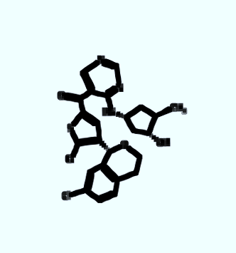 C[C@@H]1C[C@@H](Nc2ncncc2C(=O)c2cc([C@@H]3OCCc4ccc(Cl)cc43)c(Cl)s2)C[C@H]1O